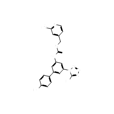 CCc1nnnn1-c1cc(OC(=O)NCc2ccnc(N)c2)cc(-c2ccc(C)cc2)c1